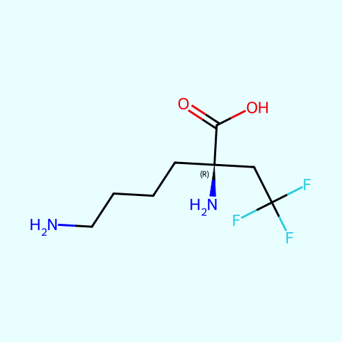 NCCCC[C@@](N)(CC(F)(F)F)C(=O)O